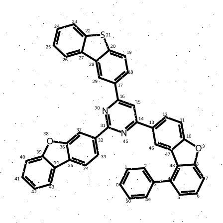 c1ccc(-c2cccc3oc4ccc(-c5cc(-c6ccc7sc8ccccc8c7c6)nc(-c6ccc7c(c6)oc6ccccc67)n5)cc4c23)cc1